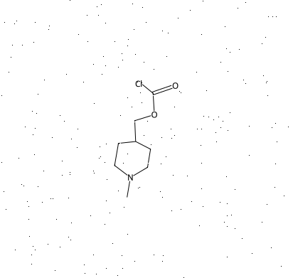 CN1CCC(COC(=O)Cl)CC1